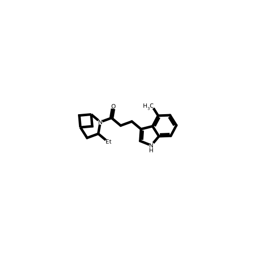 CCC1CC2CC(C2)N1C(=O)CCc1c[nH]c2cccc(C)c12